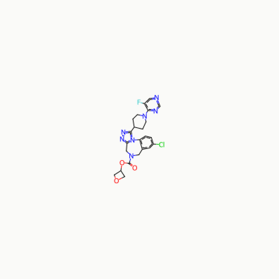 O=C(OC1COC1)N1Cc2cc(Cl)ccc2-n2c(nnc2C2CCN(c3ncncc3F)CC2)C1